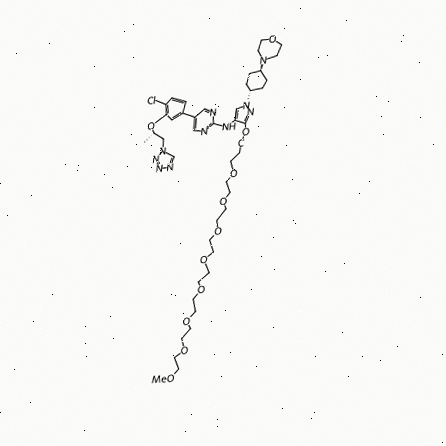 COCCOCCOCCOCCOCCOCCOCCOCCCOc1nn([C@H]2CC[C@H](N3CCOCC3)CC2)cc1Nc1ncc(-c2ccc(Cl)c(O[C@@H](C)Cn3cnnn3)c2)cn1